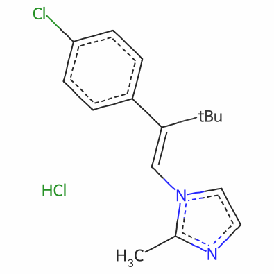 Cc1nccn1/C=C(/c1ccc(Cl)cc1)C(C)(C)C.Cl